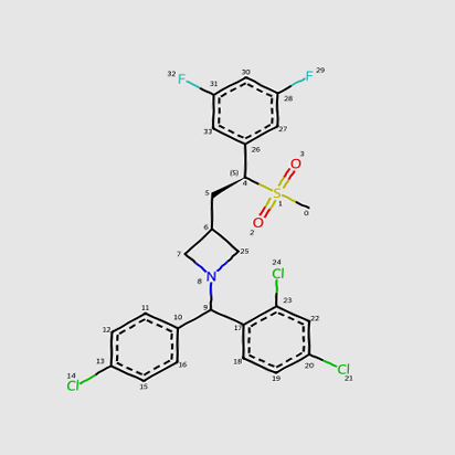 CS(=O)(=O)[C@@H](CC1CN(C(c2ccc(Cl)cc2)c2ccc(Cl)cc2Cl)C1)c1cc(F)cc(F)c1